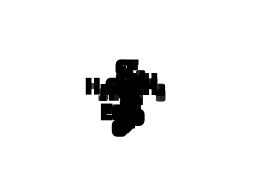 CCNc1cc2c(N[C@H](C)c3cc(N)cc(C(F)(F)F)c3)nc(C)nc2cc1C(=O)N1CCOCC1